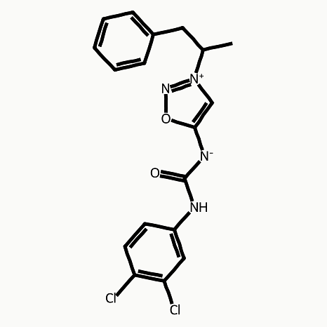 CC(Cc1ccccc1)[n+]1cc([N-]C(=O)Nc2ccc(Cl)c(Cl)c2)on1